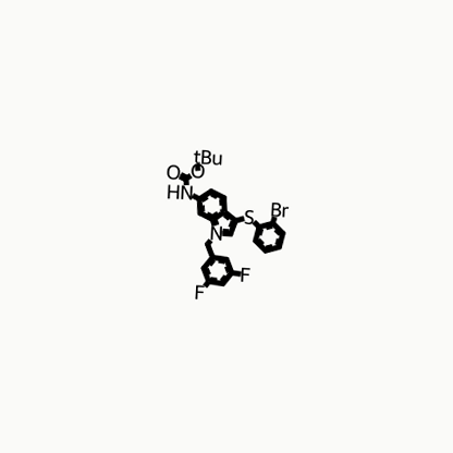 CC(C)(C)OC(=O)Nc1ccc2c(Sc3ccccc3Br)cn(Cc3cc(F)cc(F)c3)c2c1